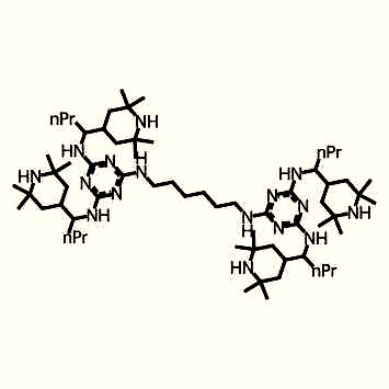 CCCC(Nc1nc(NCCCCCCNc2nc(NC(CCC)C3CC(C)(C)NC(C)(C)C3)nc(NC(CCC)C3CC(C)(C)NC(C)(C)C3)n2)nc(NC(CCC)C2CC(C)(C)NC(C)(C)C2)n1)C1CC(C)(C)NC(C)(C)C1